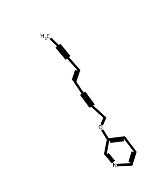 CC#CC=CC#CCOc1cccnc1